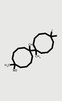 CC1(N=O)CCCCC(C)(C2(C)CCCCC(I)(I)CCCC2)CCCC1